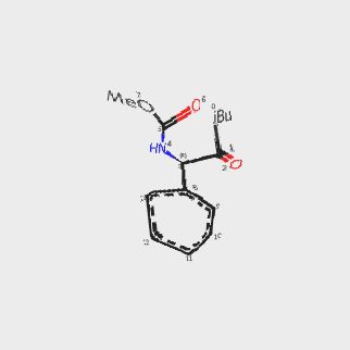 CCC(C)C(=O)[C@H](NC(=O)OC)c1ccccc1